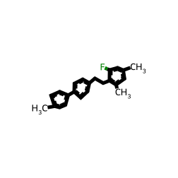 Cc1ccc(-c2ccc(CCc3c(C)cc(C)cc3F)cc2)cc1